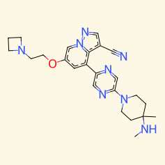 CNC1(C)CCN(c2cnc(-c3cc(OCCN4CCC4)cn4ncc(C#N)c34)cn2)CC1